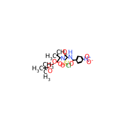 C=C(C)C(C(=O)OCOC(=O)C(C)(C)C)N1C(=O)C(NC(=O)c2ccc([N+](=O)[O-])cc2)C1[S+]([O-])Cl